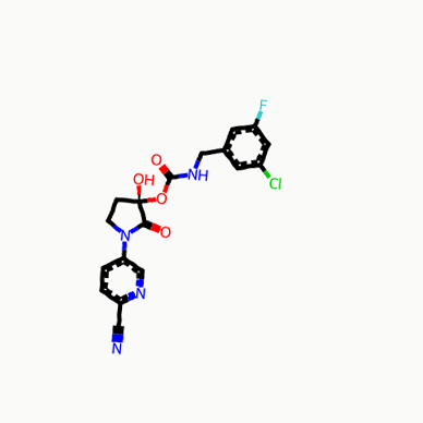 N#Cc1ccc(N2CC[C@](O)(OC(=O)NCc3cc(F)cc(Cl)c3)C2=O)cn1